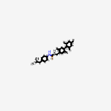 CCC(C)C(CC)Cc1ccc(NC(=S)BCc2cc(C)c(-c3c(C)cc(C)cc3C)cc2C)cc1